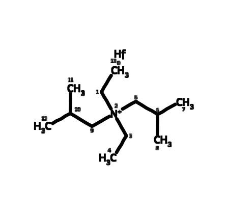 CC[N+](CC)(CC(C)C)CC(C)C.[Hf]